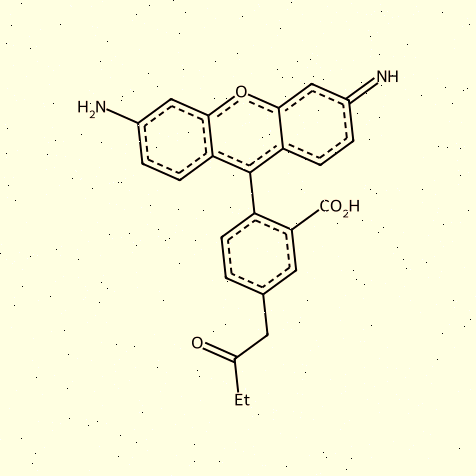 CCC(=O)Cc1ccc(-c2c3ccc(=N)cc-3oc3cc(N)ccc23)c(C(=O)O)c1